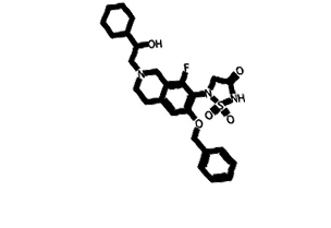 O=C1CN(c2c(OCc3ccccc3)cc3c(c2F)CN(CC(O)C2CCCCC2)CC3)S(=O)(=O)N1